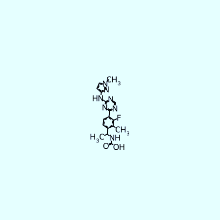 Cc1c(C(C)NC(=O)O)ccc(-c2ncnc(Nc3ccn(C)n3)n2)c1F